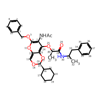 CC(=O)NC1=C(OCc2ccccc2)OC2=CO[C@H](C3CCCCC3)OC2=C1O[C@H](C)C(=O)NC(C)Cc1ccccc1